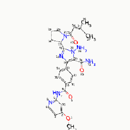 COc1ccnc(NC(=O)c2ccc(-c3nc(C4CCCN4C(=O)C=C(C)C)n(N)c3C(N)=O)cc2)c1